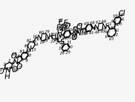 O=C1CCC(N2C(=O)c3ccc(N4CCC(CN5CCN(CC[C@H](CSc6ccccc6)Nc6ccc(S(=O)(=O)NC(=O)c7ccc(N8CCN(CC9=C(c%10ccc(Cl)cc%10)CCCCC9)CC8)cc7)cc6S(=O)(=O)C(F)(F)F)CC5)CC4)cc3C2=O)C(=O)N1